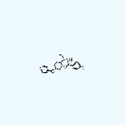 CC[C@@H](NC(=O)c1ccc(Cl)cc1)C1CCC(Oc2ccncc2)CC1